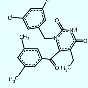 CCc1c(C(=O)c2cc(C)cc(C)c2)n(Cc2cc(Cl)cc(Cl)c2)c(=O)[nH]c1=O